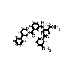 NC(=O)c1cnc(N2CCCC(N)C2)nc1Nc1cccc(C(=O)N2CCCC(c3ccccc3)C2)c1